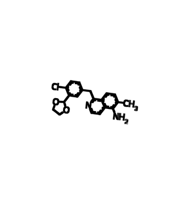 Cc1ccc2c(Cc3ccc(Cl)c(C4OCCO4)c3)nccc2c1N